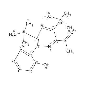 CC(=O)c1nc(-c2ccccc2O)c(C(C)(C)C)cc1C(C)(C)C